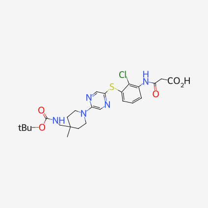 CC1(CNC(=O)OC(C)(C)C)CCN(c2cnc(Sc3cccc(NC(=O)CC(=O)O)c3Cl)cn2)CC1